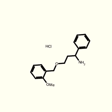 COc1ccccc1COCCC(N)c1ccccc1.Cl